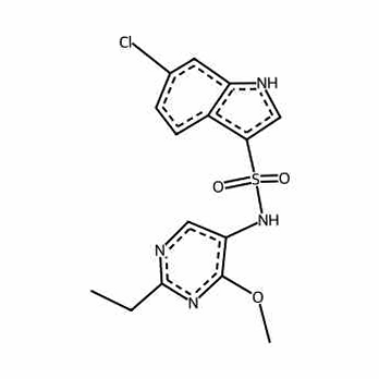 CCc1ncc(NS(=O)(=O)c2c[nH]c3cc(Cl)ccc23)c(OC)n1